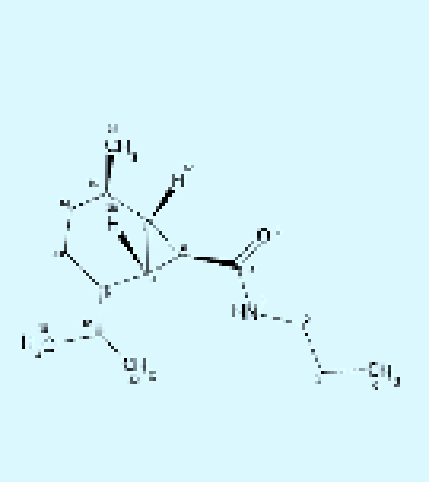 CCCNC(=O)[C@@H]1[C@@H]2[C@H]1[C@H](C(C)C)CC[C@H]2C